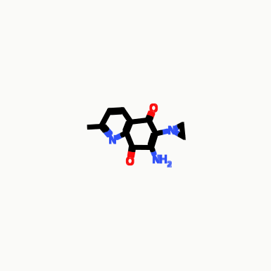 Cc1ccc2c(n1)C(=O)C(N)=C(N1CC1)C2=O